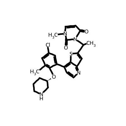 Cc1cc(Cl)cc(-c2ccnc3cc(C(C)n4c(=O)ccn(C)c4=O)sc23)c1O[C@H]1CCCNC1